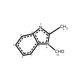 Cc1nc2ccccc2n1C=O